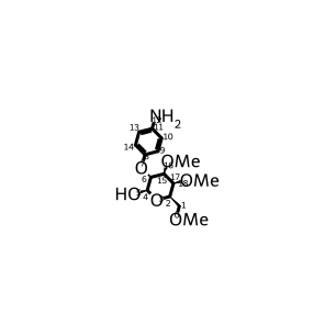 COC[C@H]1O[C@@H](O)[C@H](Oc2ccc(N)cc2)[C@@H](OC)[C@H]1OC